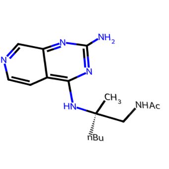 CCCC[C@](C)(CNC(C)=O)Nc1nc(N)nc2cnccc12